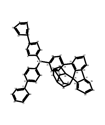 c1ccc(-c2ccc(N(c3ccc(-c4ccccc4)cc3)c3ccc(-c4cccc5c4C4(c6ccccc6-5)C5CC6CC(C5)CC4C6)cc3)cc2)cc1